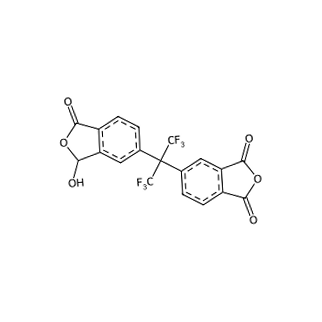 O=C1OC(=O)c2cc(C(c3ccc4c(c3)C(O)OC4=O)(C(F)(F)F)C(F)(F)F)ccc21